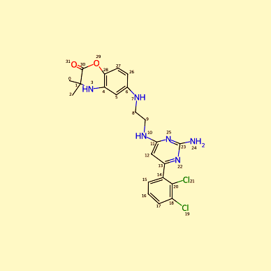 CC1(C)Nc2cc(NCCNc3cc(-c4cccc(Cl)c4Cl)nc(N)n3)ccc2OC1=O